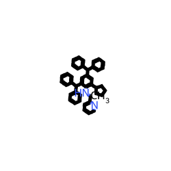 CC(Nc1c(C2CCCC2)cc(C(c2ccccc2)c2ccccc2)cc1C(c1ccccc1)c1ccccc1)c1ccccn1